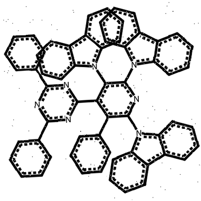 c1ccc(-c2nc(-c3ccccc3)nc(-c3c(-c4ccccc4)c(-n4c5ccccc5c5ccccc54)nc(-n4c5ccccc5c5ccccc54)c3-n3c4ccccc4c4ccccc43)n2)cc1